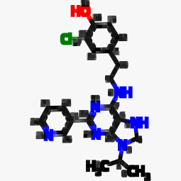 CC(C)N1CNc2c(NCCc3ccc(O)c(Cl)c3)nc(-c3cccnc3)nc21